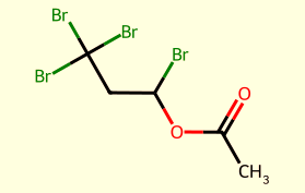 CC(=O)OC(Br)CC(Br)(Br)Br